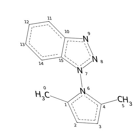 Cc1ccc(C)n1-n1nnc2ccccc21